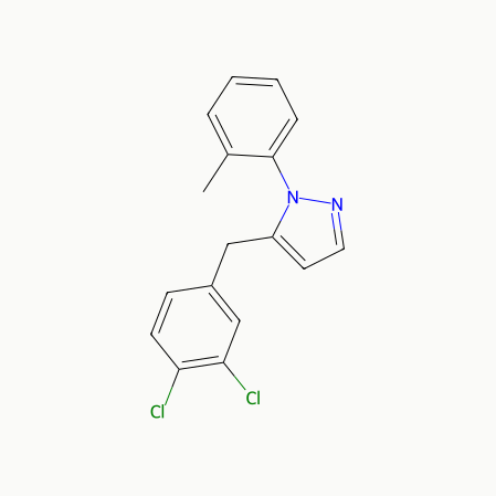 Cc1ccccc1-n1nccc1Cc1ccc(Cl)c(Cl)c1